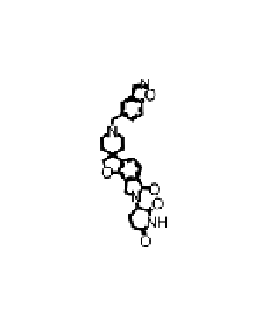 O=C1CCC(N2Cc3c(ccc4c3OCC43CCN(Cc4ccc5oncc5c4)CC3)C2=O)C(=O)N1